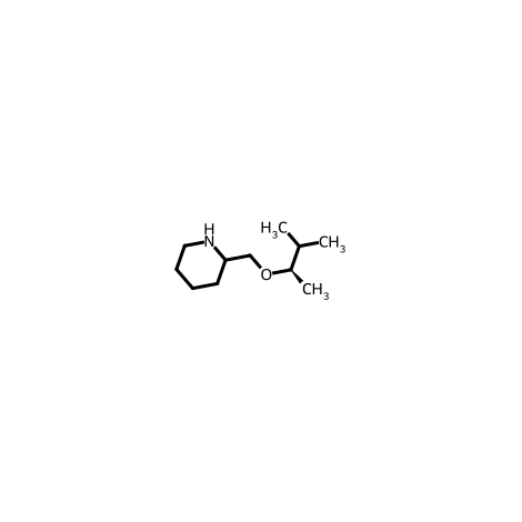 CC(C)[C@@H](C)OCC1CCCCN1